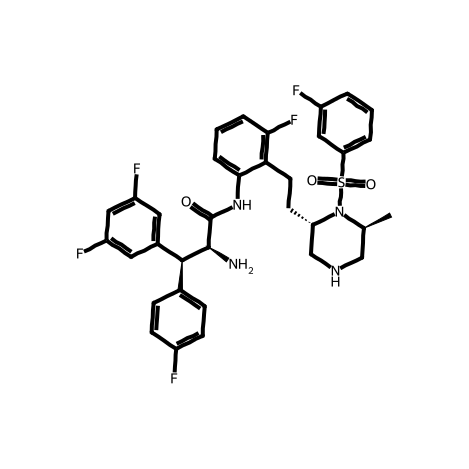 C[C@H]1CNC[C@H](CCc2c(F)cccc2NC(=O)[C@@H](N)[C@@H](c2ccc(F)cc2)c2cc(F)cc(F)c2)N1S(=O)(=O)c1cccc(F)c1